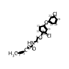 CC#CCOC(=O)NCCOc1ccc(Oc2cccc(Cl)c2)cc1Cl